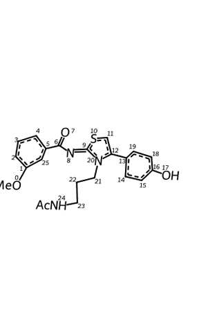 COc1cccc(C(=O)/N=c2\scc(-c3ccc(O)cc3)n2CCCNC(C)=O)c1